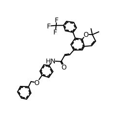 CC1(C)C=Cc2cc(C=CC(=O)Nc3ccc(OCc4ccccc4)cc3)cc(-c3cccc(C(F)(F)F)c3)c2O1